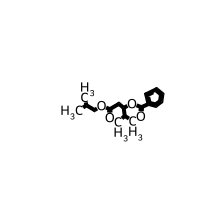 CC(C)COC(=O)CC(OC(=O)c1ccccc1)C(C)C